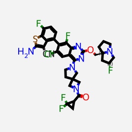 N#Cc1c(N)sc2c(F)ccc(-c3c(Cl)cc4c(N5CCC6(CN(C(=O)C7CC7(F)F)C6)C5)nc(OC[C@@]56CCCN5C[C@H](F)C6)nc4c3F)c12